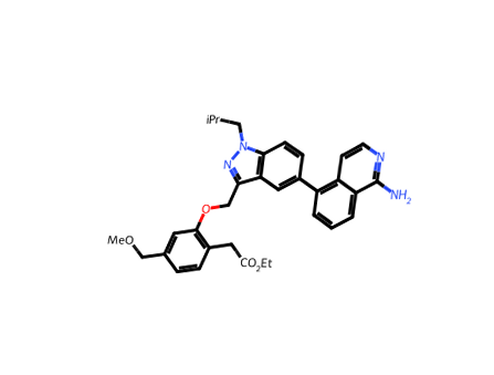 CCOC(=O)Cc1ccc(COC)cc1OCc1nn(CC(C)C)c2ccc(-c3cccc4c(N)nccc34)cc12